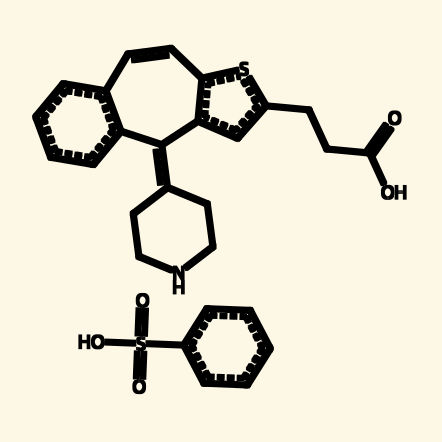 O=C(O)CCc1cc2c(s1)C=Cc1ccccc1C2=C1CCNCC1.O=S(=O)(O)c1ccccc1